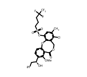 COc1c([C@@H](O)CC(C)C)ccc2c1C(=O)OCc1c(Cl)c(C)cc(OS(=O)(=O)CCCC(F)(F)C(F)(F)F)c1O2